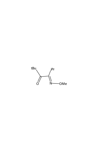 CO/N=C(/C(=O)C(C)(C)C)C(C)C